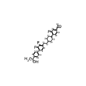 CC(O)c1ccc(-c2ccc(CCC3CCC(c4ccc(C5CO5)cc4F)CC3)c(F)c2F)cc1